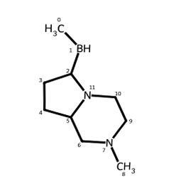 CBC1CCC2CN(C)CCN12